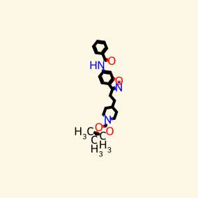 CC(C)(C)OC(=O)N1CCC(CCc2noc3cc(NC(=O)c4ccccc4)ccc23)CC1